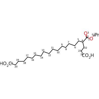 CC(C)OC(=O)C(CCCCCCCCCCCCCCCCC(=O)O)CCC(=O)O